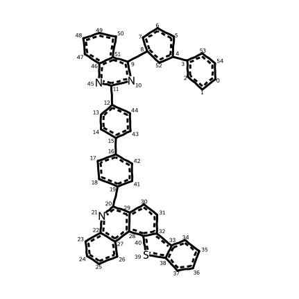 c1ccc(-c2cccc(-c3nc(-c4ccc(-c5ccc(-c6nc7ccccc7c7c6ccc6c8ccccc8sc67)cc5)cc4)nc4ccccc34)c2)cc1